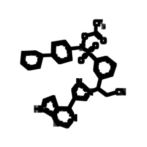 N#CCC(c1cccc(S(=O)(=O)N(OC(=O)C(F)(F)F)c2ccc(-c3ccccc3)cc2)c1)n1cc(-c2ncnc3[nH]ccc23)cn1